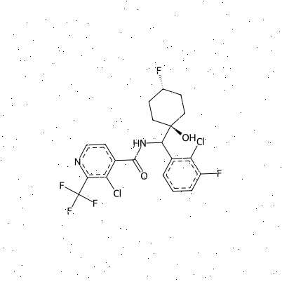 O=C(NC(c1cccc(F)c1Cl)[C@]1(O)CC[C@H](F)CC1)c1ccnc(C(F)(F)F)c1Cl